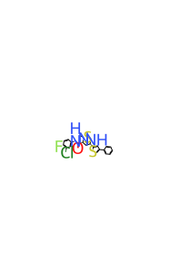 CN1SN[C@@H](c2cc(-c3ccccc3)cs2)C[C@H]1C(=O)Nc1ccc(F)c(Cl)c1